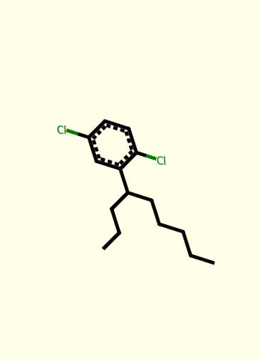 CCCCCC(CCC)c1cc(Cl)ccc1Cl